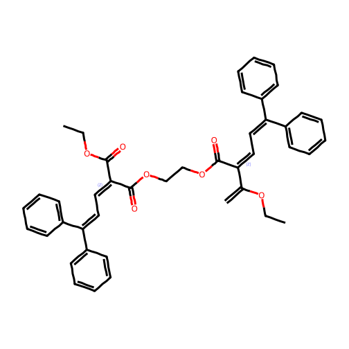 C=C(OCC)/C(=C/C=C(c1ccccc1)c1ccccc1)C(=O)OCCOC(=O)/C(=C\C=C(c1ccccc1)c1ccccc1)C(=O)OCC